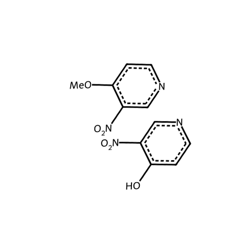 COc1ccncc1[N+](=O)[O-].O=[N+]([O-])c1cnccc1O